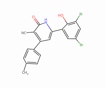 Cc1ccc(-c2cc(-c3cc(Br)cc(Br)c3O)[nH]c(=O)c2C#N)cc1